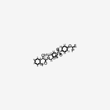 O=C(C(O)c1ccccc1F)N1Cc2cn(S(=O)(=O)c3ccc(OC(F)F)cc3)nc2C1